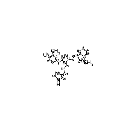 Cc1cc(Cc2nnc(CCc3cn(C)c4ccccc34)n2CCCc2c[nH]cn2)ccc1Cl